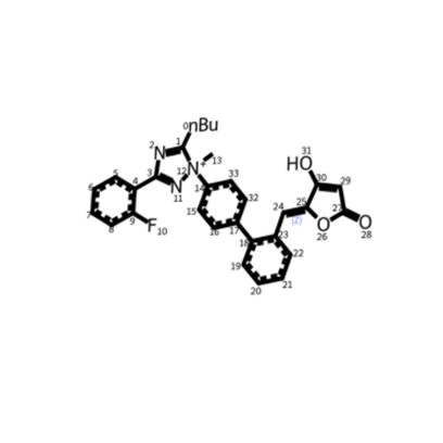 CCCCC1=NC(c2ccccc2F)=N[N+]1(C)c1ccc(-c2ccccc2/C=C2\OC(=O)C=C2O)cc1